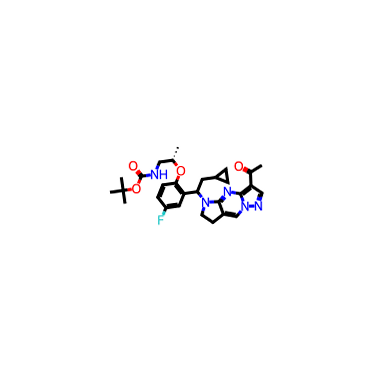 CC(=O)c1cnn2cc3c(nc12)N(C(CC1CC1)c1cc(F)ccc1O[C@@H](C)CNC(=O)OC(C)(C)C)CC3